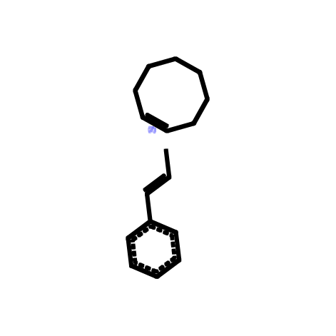 C1=C\CCCCCC/1.CC=Cc1ccccc1